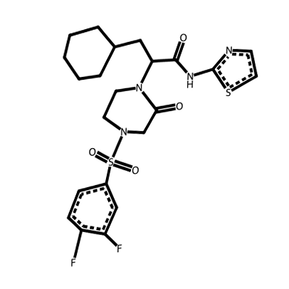 O=C(Nc1nccs1)C(CC1CCCCC1)N1CCN(S(=O)(=O)c2ccc(F)c(F)c2)CC1=O